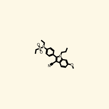 CCCn1c(-c2ccc(N(CC)S(=O)(=O)CC)cc2)c(C#N)c2ccc(OC)cc21